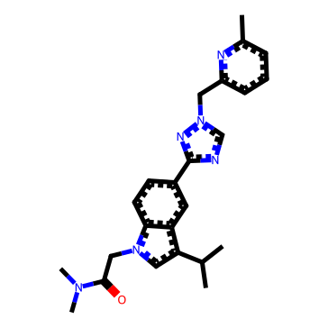 Cc1cccc(Cn2cnc(-c3ccc4c(c3)c(C(C)C)cn4CC(=O)N(C)C)n2)n1